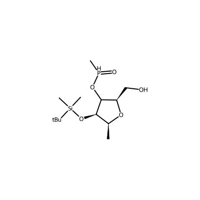 C[C@@H]1O[C@H](CO)C(O[PH](C)=O)[C@@H]1O[Si](C)(C)C(C)(C)C